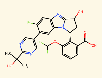 CC(C)(O)c1ncc(-c2cc3c(cc2F)nc2n3[C@@H](c3c(OC(F)F)cccc3C(=O)O)CC2O)cn1